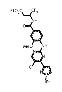 CCOC(=O)CC(NC(=O)c1ccc(Nc2ncc(Cl)c(-c3ccn(C(C)C)n3)n2)c(OC)c1)C(F)(F)F